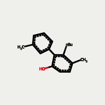 CCCCc1c(C)ccc(O)c1-c1cccc(C)c1